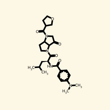 CC(C)C[C@H](NC(=O)c1ccc(N(C)C)cc1)C(=O)N1CCC2C1C(=O)CN2C(=O)C1CCOC1